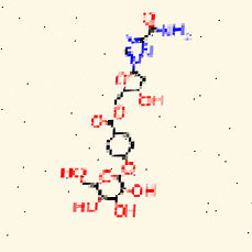 NC(=O)c1ncn(C2C[C@H](O)C(COC(=O)C3CCC(OC4OC(CO)C(O)C(O)C4O)CC3)O2)n1